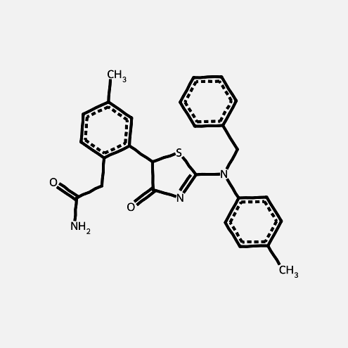 Cc1ccc(N(Cc2ccccc2)C2=NC(=O)C(c3cc(C)ccc3CC(N)=O)S2)cc1